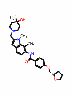 Cc1c(NC(=O)c2ccc(OC[C@@H]3CCCO3)cc2)ccc2cc(CN3CCC(C)(O)CC3)n(C)c12